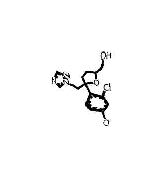 OCC1CCC(Cn2cncn2)(c2ccc(Cl)cc2Cl)O1